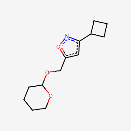 c1c(C2CCC2)noc1COC1CCCCO1